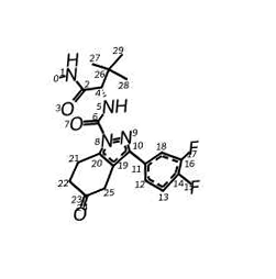 CNC(=O)[C@@H](NC(=O)n1nc(-c2ccc(F)c(F)c2)c2c1CCC(=O)C2)C(C)(C)C